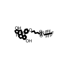 CN(CC(F)(F)C(F)(F)C(F)(F)F)S(=O)(=O)CCCCCOc1ccc([C@H]2C[C@]3(C)[C@@H](O)CC[C@H]3[C@@H]3CCc4cc(O)ccc4[C@H]32)cc1